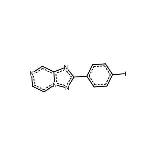 Ic1ccc(-c2nc3cnccn3n2)cc1